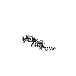 COCCn1cnc2ccc(Sc3cnc(N4CCC5(CC4)Cc4scnc4[C@H]5N)c(CO)n3)c(Cl)c2c1=O